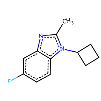 Cc1nc2cc(F)ccc2n1C1CCC1